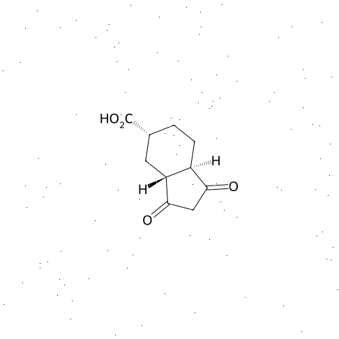 O=C(O)[C@@H]1CC[C@H]2C(=O)CC(=O)[C@@H]2C1